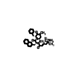 CN1CCN(C(=O)[C@@H](Cc2ccc3ccccc3c2)N(C)C(=O)/C=C/CC(C)(C)N)[C@H](Cc2ccccc2)C1=O